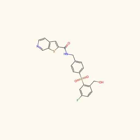 O=C(NCc1ccc(S(=O)(=O)c2cc(F)ccc2CO)cc1)c1cc2ccncc2s1